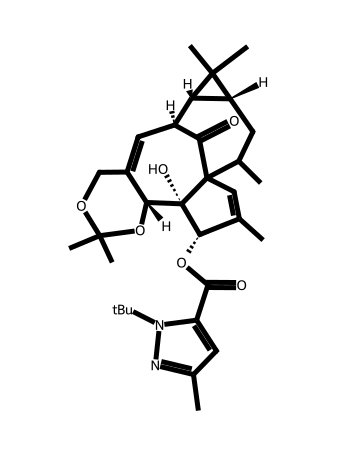 CC1=CC23C(=O)[C@@H](C=C4COC(C)(C)O[C@H]4[C@]2(O)[C@H]1OC(=O)c1cc(C)nn1C(C)(C)C)[C@H]1[C@@H](CC3C)C1(C)C